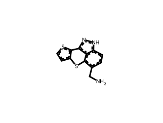 NCc1ccc2[nH]nc3c2c1Sc1ccsc1-3